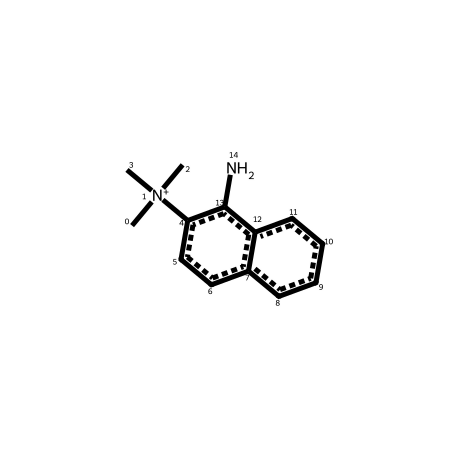 C[N+](C)(C)c1ccc2ccccc2c1N